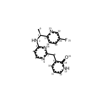 C[C@H](Nc1ccnc(Cc2ccc[nH]c2=O)n1)c1ccc(F)cn1